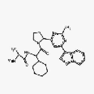 CNC(C)C(=O)NC(C(=O)N1CCCC1c1cc(-c2coc3ccccc23)nc(C)n1)C1CCCCC1